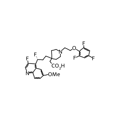 COc1ccc2ncc(F)c([C@H](F)CCC3(CC(=O)O)CCN(CCOc4c(F)cc(F)cc4F)CC3)c2c1